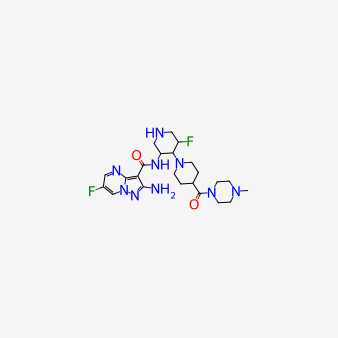 CN1CCN(C(=O)C2CCN(C3C(F)CNCC3NC(=O)c3c(N)nn4cc(F)cnc34)CC2)CC1